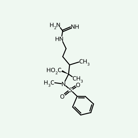 CC(CCNC(=N)N)[C@@](C)(C(=O)O)N(C)S(=O)(=O)c1ccccc1